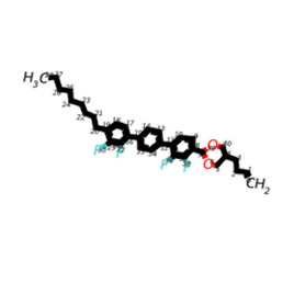 C=CCCC1COC(c2ccc(-c3ccc(-c4ccc(CCCCCCCCC)c(F)c4F)cc3)c(F)c2F)OC1